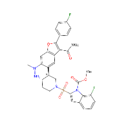 CNC(=O)c1c(-c2ccc(F)cc2)oc2cc(N(C)N)c([C@@H]3CCCN(S(=O)(=O)c4cc5cccc(F)c5n4C(=O)OC(C)(C)C)C3)cc12